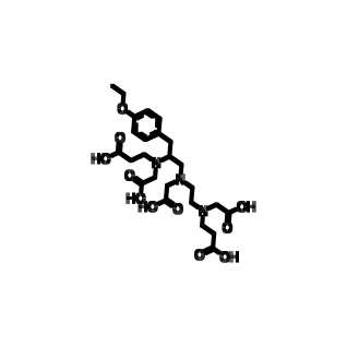 CCOc1ccc(CC(CN(CCN(CCC(=O)O)CC(=O)O)CC(=O)O)N(CCC(=O)O)CC(=O)O)cc1